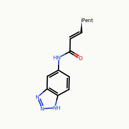 CCC[C@H](C)/C=C/C(=O)Nc1ccc2[nH]nnc2c1